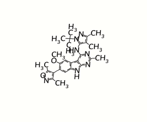 COc1cc2c(cc1-c1c(C)noc1C)[nH]c1nc(C)nc(Nc3c(C)c(C)nn3C(C)(C)C)c12